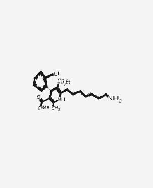 CCOC(=O)C1=C(CCCCCCCN)NC(C)=C(C(=O)OC)[C@@H]1c1ccccc1Cl